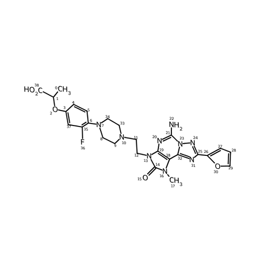 CC(Oc1ccc(N2CCN(CCn3c(=O)n(C)c4c3nc(N)n3nc(-c5ccco5)nc43)CC2)c(F)c1)C(=O)O